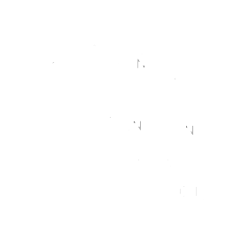 Cc1cn2c(cnc3ccccc32)n1